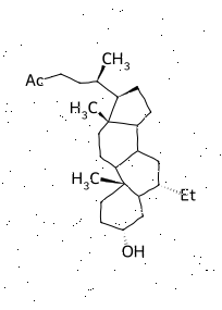 CC[C@H]1CC2C(CC[C@@]3(C)C2CC[C@@H]3[C@H](C)CCC(C)=O)[C@@]2(C)CC[C@@H](O)CC12